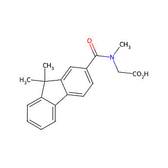 CN(CC(=O)O)C(=O)c1ccc2c(c1)C(C)(C)c1ccccc1-2